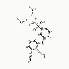 COCCN(CCOC)S(=O)(=O)c1cccc(Sc2cccc(C#N)c2C#N)c1